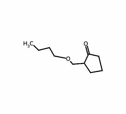 CCCCOCC1CCCC1=O